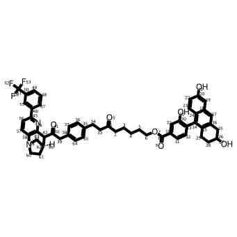 O=C(CCCCCOC(=O)c1ccc(-c2c3c(cc4cc(O)ccc24)CC(O)CC3)c(O)c1)CCc1ccc(CC(=O)C2c3nc(-c4cccc(C(F)(F)F)c4)ccc3N3CC[C@H]2C3)cc1